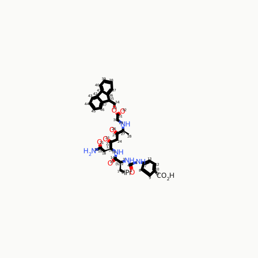 CC(C)C[C@H](NC(=O)Nc1ccc(C(=O)O)cc1)C(=O)N[C@@H](CC(N)=O)C(=O)CC(=O)[C@H](C)NCC(=O)OCC1c2ccccc2-c2ccccc21